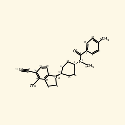 Cc1ccc(C(=O)N(C)[C@H]2CC[C@H](N3CCc4c3ccc(C#N)c4Cl)CC2)cc1